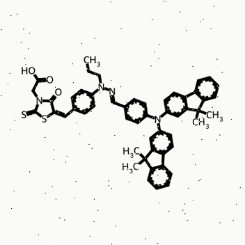 CCCN(N=Cc1ccc(N(c2ccc3c(c2)C(C)(C)c2ccccc2-3)c2ccc3c(c2)C(C)(C)c2ccccc2-3)cc1)c1ccc(C=C2SC(=S)N(CC(=O)O)C2=O)cc1